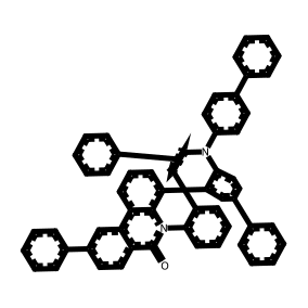 O=c1c2ccc(-c3ccccc3)cc2c2cccc3c2n1-c1ccccc1C31c2cc(-c3ccccc3)ccc2N(c2ccc(-c3ccccc3)cc2)c2ccc(-c3ccccc3)cc21